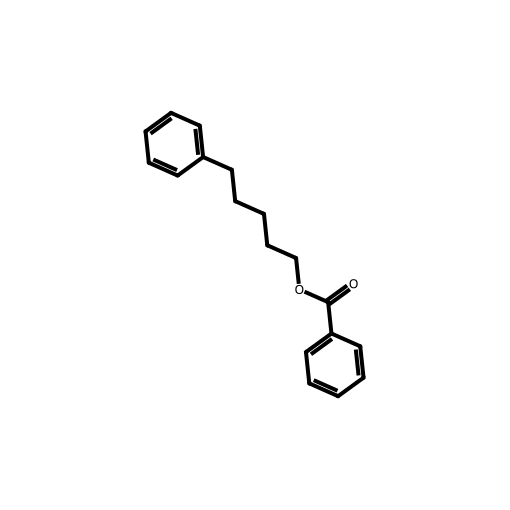 O=C(OCCCCCc1ccccc1)c1ccccc1